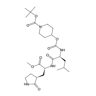 COC(=O)[C@H](C[C@@H]1CCNC1=O)NC(=O)[C@H](CC(C)C)NC(=O)OC1CCN(C(=O)OC(C)(C)C)CC1